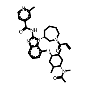 C=CC(=O)N1CCCC[C@@H](n2c(NC(=O)c3ccnc(C)c3)nc3cccc(O[C@@H]4CC(C)[C@@H](N(C)C(C)=O)CC4C)c32)C1